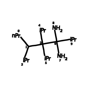 CCCC(C(C)C)C(C(C)C)(C(C)C)C(N)(N)C(C)C